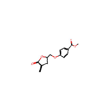 C=C1CC(COc2ccc(C(=O)OC)cc2)OC1=O